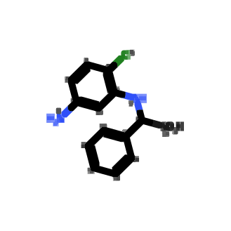 Nc1ccc(Cl)c(NC(c2ccccc2)S(=O)(=O)O)c1